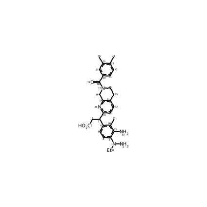 CCN(N)c1ccc(C(CC(=O)O)c2ccc3c(n2)CN(C(=O)c2ccc(C)c(C)c2)CC3)c(C)c1N